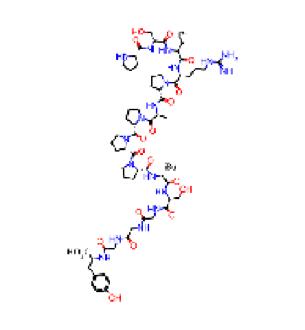 CC[C@H](C)[C@H](NC(=O)[C@@H]1CCCN1C(=O)[C@@H]1CCCN1C(=O)[C@@H]1CCCN1C(=O)[C@H](C)NC(=O)[C@@H]1CCCN1C(=O)[C@H](CCCNC(=N)N)NC(=O)[C@H](CC(C)C)NC(=O)[C@H](CO)NC(=O)[C@@H]1CCCN1)C(=O)N[C@@H](CO)C(=O)NCC(=O)NCC(=O)NCC(=O)N[C@@H](Cc1ccc(O)cc1)C(=O)O